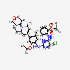 CCC1C=C(c2cc(OC(C)C)c(Nc3ncc(Cl)c(Nc4ccccc4S(=O)(=O)C(C)C)n3)cc2C)CC(CC)N1C1CCOCC1